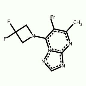 Cc1nc2ncnn2c(N2CC(F)(F)C2)c1C(C)C